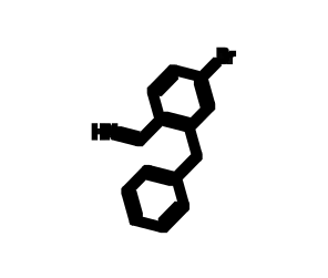 N=Cc1ccc(Br)cc1Cc1ccccc1